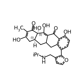 CC1=C(O)C[C@@H]2CC3Cc4c(-c5occc5CNC(C)C)ccc(O)c4C(=O)C3=C(O)[C@]2(O)C1=O